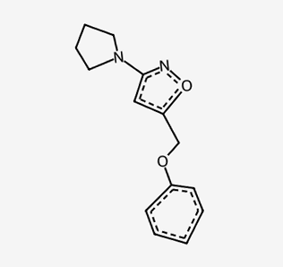 c1ccc(OCc2cc(N3CCCC3)no2)cc1